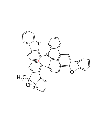 CC1(C)c2ccccc2-c2c(-c3ccccc3N(c3ccccc3-c3ccc4oc5ccccc5c4c3)c3cccc4c3oc3ccccc34)cccc21